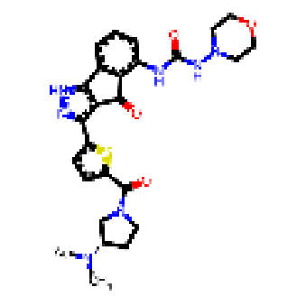 CC(=O)N(C)[C@H]1CCN(C(=O)c2ccc(-c3n[nH]c4c3C(=O)c3c(NC(=O)NN5CCOCC5)cccc3-4)s2)C1